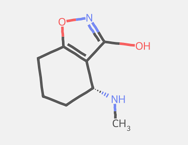 CN[C@@H]1CCCc2onc(O)c21